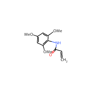 C=CC(=O)Nc1c(OC)cc(OC)cc1OC